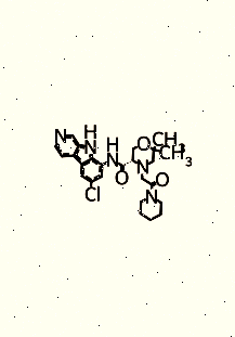 CC1(C)CN(CC(=O)N2CCCCC2)[C@H](C(=O)Nc2cc(Cl)cc3c2[nH]c2cnccc23)CO1